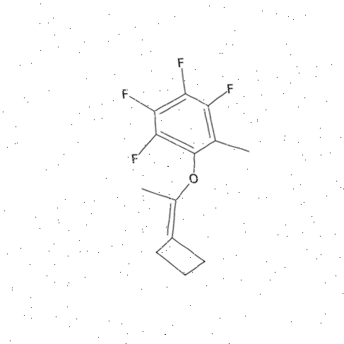 CC(Oc1c(C)c(F)c(F)c(F)c1F)=C1CCC1